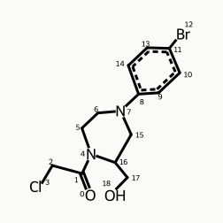 O=C(CCl)N1CCN(c2ccc(Br)cc2)CC1CO